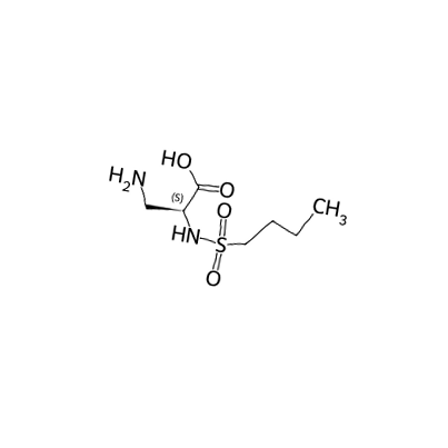 CCCCS(=O)(=O)N[C@@H](CN)C(=O)O